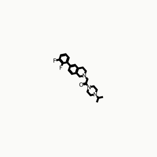 CC(C)N1CCN(C(=O)CN2CCc3cc(-c4cccc(F)c4F)ccc3C2)CC1